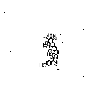 CCCCNC(C(=O)Nc1ccc2c(c1O)C(=O)C1=C(O)[C@]3(O)C(=O)C(C(N)=O)=C(O)[C@@H](N(C)C)C3CC1C2)c1ccc(O)cc1